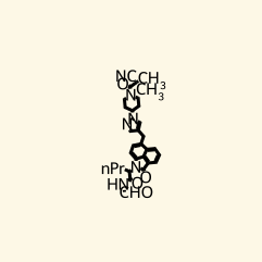 CCCC(C(=O)NC=O)N1C(=O)c2cccc3c(Cc4cnn(C5CCN(C(=O)C(C)(C)C#N)CC5)c4)ccc1c23